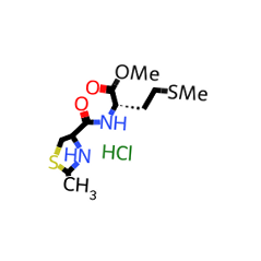 COC(=O)[C@H](CCSC)NC(=O)C1CSC(C)N1.Cl